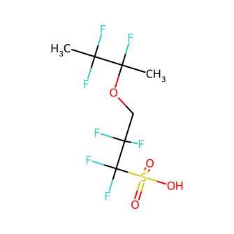 CC(F)(F)C(C)(F)OCC(F)(F)C(F)(F)S(=O)(=O)O